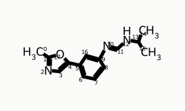 Cc1ncc(-c2cccc(N=CNC(C)C)c2)o1